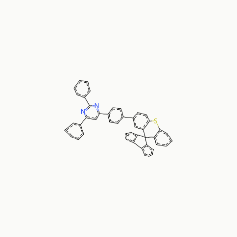 c1ccc(-c2cc(-c3ccc(-c4ccc5c(c4)C4(c6ccccc6S5)c5ccccc5-c5ccccc54)cc3)nc(-c3ccccc3)n2)cc1